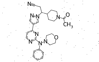 CC(=O)N1CCC(C(CC#N)n2cc(-c3ccnc(N(c4ccccc4)N4CCOCC4)n3)cn2)CC1